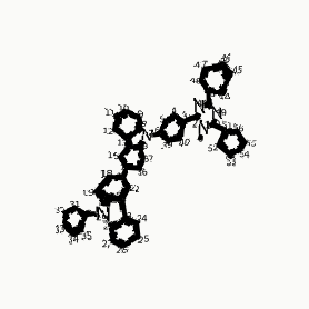 CN1C(c2ccc(-n3c4ccccc4c4cc(-c5ccc6c(c5)c5ccccc5n6-c5ccccc5)ccc43)cc2)=NC(c2ccccc2)=NC1c1ccccc1